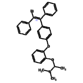 CC/C(=C(\c1ccccc1)c1ccc(Oc2ccccc2OC(C)N(C)C)cc1)c1ccccc1